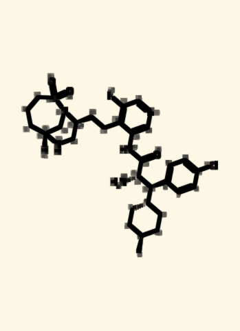 C[C@H]1CC[C@H]([C@H](c2ccc(Cl)cc2)[C@H](N)C(=O)Nc2cncc(F)c2CC[C@H]2CN[C@@H]3CCCS(=O)(=O)N2C3)CC1